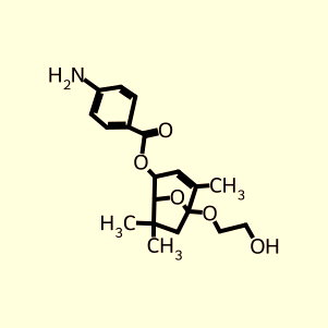 CC1=CC(OC(=O)c2ccc(N)cc2)C2OC1(OCCO)CC2(C)C